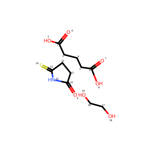 O=C(O)CCCC(=O)O.O=C1CCC(=S)N1.OCCO